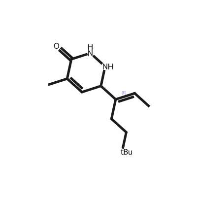 C/C=C(\CCC(C)(C)C)C1C=C(C)C(=O)NN1